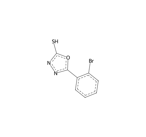 Sc1nnc(-c2ccccc2Br)o1